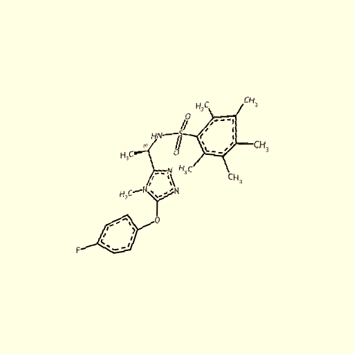 Cc1c(C)c(C)c(S(=O)(=O)N[C@H](C)c2nnc(Oc3ccc(F)cc3)n2C)c(C)c1C